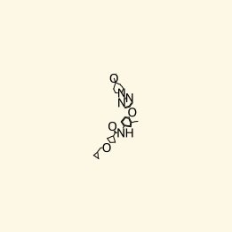 COC1CCN(c2ncc(Oc3ccc(NC(=O)C4CC(OCC5CC5)C4)cc3C)cn2)CC1